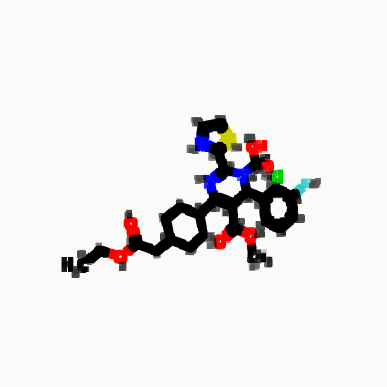 CCOC(=O)CC1CCC(C2=C(C(=O)OC)C(c3cccc(F)c3Cl)N(C(=O)O)C(c3nccs3)=N2)CC1